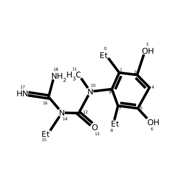 CCc1c(O)cc(O)c(CC)c1N(C)C(=O)N(CC)C(=N)N